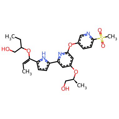 C/C=C(/OC(CC)CO)c1ccc(-c2cc(O[C@@H](C)CO)cc(Oc3ccc(S(C)(=O)=O)nc3)n2)[nH]1